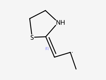 C[CH]/C=C1\NCCS1